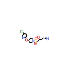 N#CCCC(=O)CS(=O)(=O)N1CCC(Oc2ccc(Cl)cn2)CC1